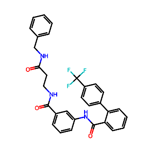 O=C(CCNC(=O)c1cccc(NC(=O)c2ccccc2-c2ccc(C(F)(F)F)cc2)c1)NCc1ccccc1